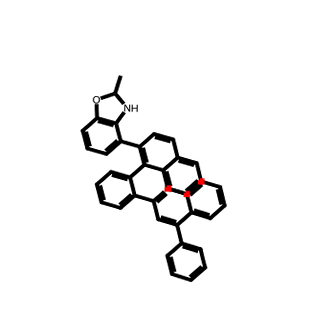 CC1Nc2c(cccc2-c2ccc3ccccc3c2-c2ccccc2-c2cc(-c3ccccc3)c3ccccc3n2)O1